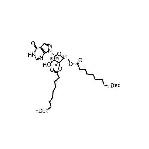 CCCCCCCCCCCCCCCCCC(=O)OC[C@H]1O[C@@H](n2ncc3c(=O)[nH]cnc32)[C@H](O)[C@@H]1OC(=O)CCCCCCCCCCCCCCCCC